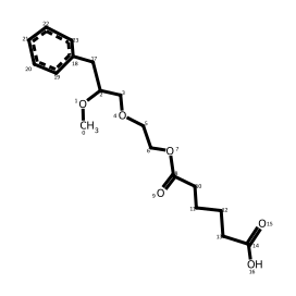 COC(COCCOC(=O)CCCCC(=O)O)Cc1ccccc1